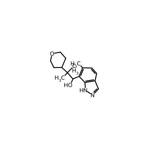 Cc1ccc2cn[nH]c2c1C(O)C(C)(C)C1CCOCC1